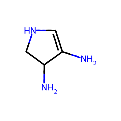 NC1=CNCC1N